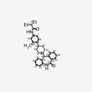 CCC(CC)C(=O)Nc1ccc(C2CCN(C3c4ccccc4NC(=O)c4ccccc43)CC2)c(C)c1